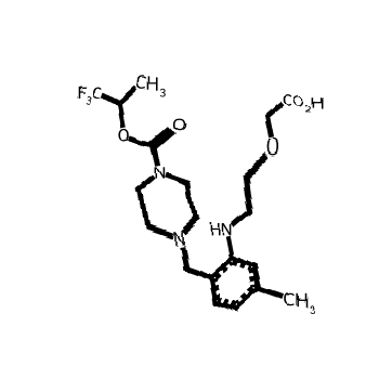 Cc1ccc(CN2CCN(C(=O)OC(C)C(F)(F)F)CC2)c(NCCOCC(=O)O)c1